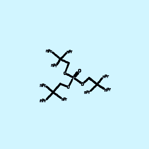 CCCC(CCC)(CCC)COP(=O)(OCC(CCC)(CCC)CCC)OCC(CCC)(CCC)CCC